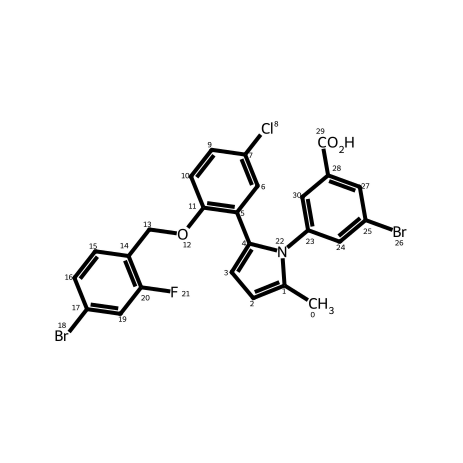 Cc1ccc(-c2cc(Cl)ccc2OCc2ccc(Br)cc2F)n1-c1cc(Br)cc(C(=O)O)c1